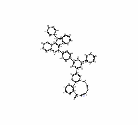 C=C1/C=C\C=C/Cc2cc(-c3nc(-c4ccccc4)nc(-c4ccc(-c5nc6ccccc6c6c5c5ccccc5n6-c5ccccc5)cc4)n3)ccc2-c2ccccc21